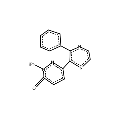 CC(C)n1nc(-c2nccnc2-c2ccccc2)ccc1=O